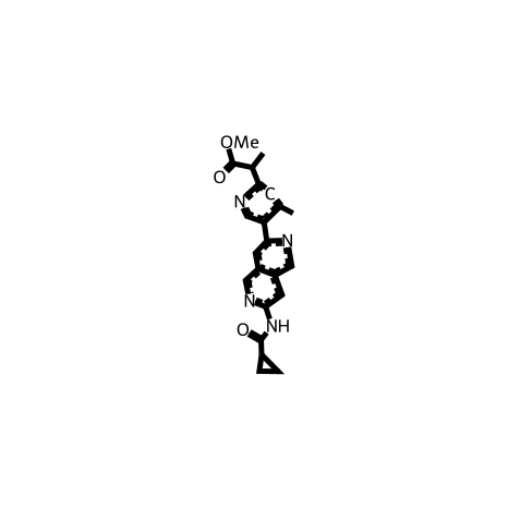 COC(=O)C(C)c1cc(C)c(-c2cc3cnc(NC(=O)C4CC4)cc3cn2)cn1